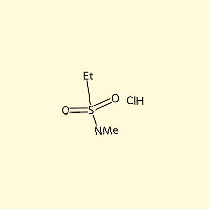 CCS(=O)(=O)NC.Cl